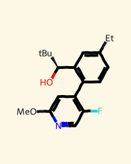 CCc1ccc(-c2cc(OC)ncc2F)c([C@@H](O)C(C)(C)C)c1